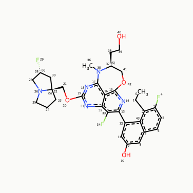 CCc1c(F)ccc2cc(O)cc(-c3nc4c5c(nc(OC[C@@]67CCCN6C[C@H](F)C7)nc5c3F)N(C)[C@@H](CCO)CO4)c12